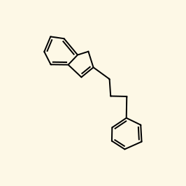 C1=C(CCCc2ccccc2)Cc2ccccc21